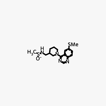 CSc1ccc2ncnc(N3CCCC(CN[S+](C)[O-])C3)c2c1